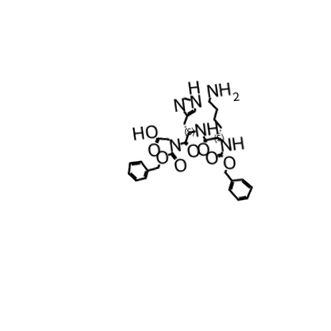 NCCCC[C@H](NC(=O)OCc1ccccc1)C(=O)N[C@@H](Cc1c[nH]cn1)C(=O)N(CC(=O)O)C(=O)OCc1ccccc1